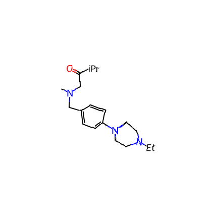 CCN1CCN(c2ccc(CN(C)CC(=O)C(C)C)cc2)CC1